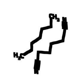 CCCCCCC.N#CCCCCC#N